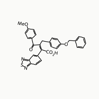 COc1ccc(C(=O)C(Cc2ccc(OCc3ccccc3)cc2)=C(C(=O)O)c2ccc3nsnc3c2)cc1